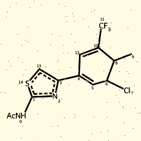 CC(=O)Nc1nc(C2=CC(Cl)C(C)C(C(F)(F)F)=C2)cs1